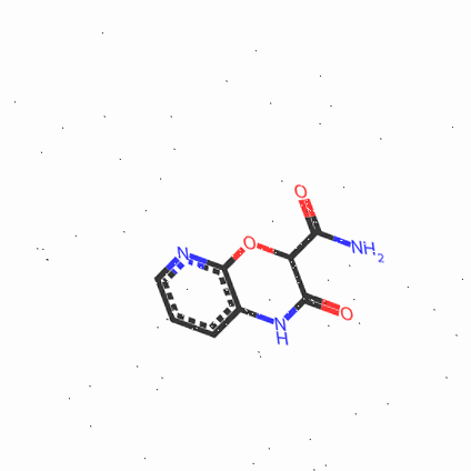 NC(=O)C1Oc2nc[c]cc2NC1=O